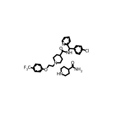 NC(=O)C1CCNCC1.O=C(NC(c1ccc(Cl)cc1)c1ccccn1)C1CCN(CCOc2ccc(C(F)(F)F)cc2)CC1